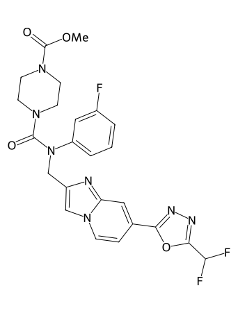 COC(=O)N1CCN(C(=O)N(Cc2cn3ccc(-c4nnc(C(F)F)o4)cc3n2)c2cccc(F)c2)CC1